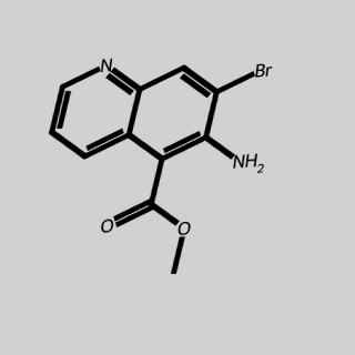 COC(=O)c1c(N)c(Br)cc2ncccc12